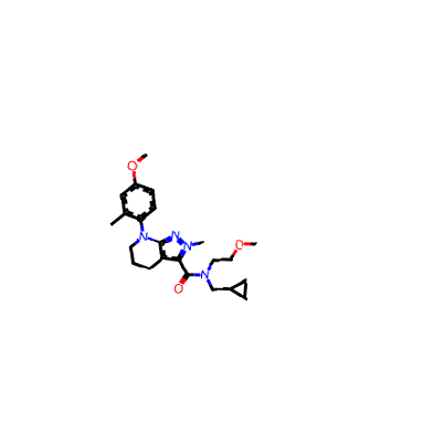 COCCN(CC1CC1)C(=O)c1c2c(nn1C)N(c1ccc(OC)cc1C)CCC2